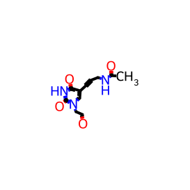 CC(=O)NCC#Cc1cn(CC=O)c(=O)[nH]c1=O